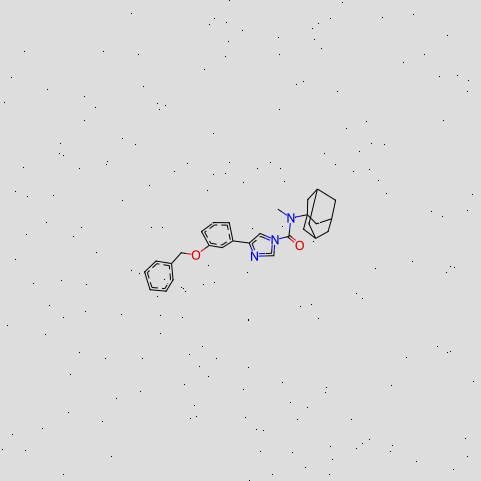 CN(C(=O)n1cnc(-c2cccc(OCc3ccccc3)c2)c1)C12CC3CC(CC(C3)C1)C2